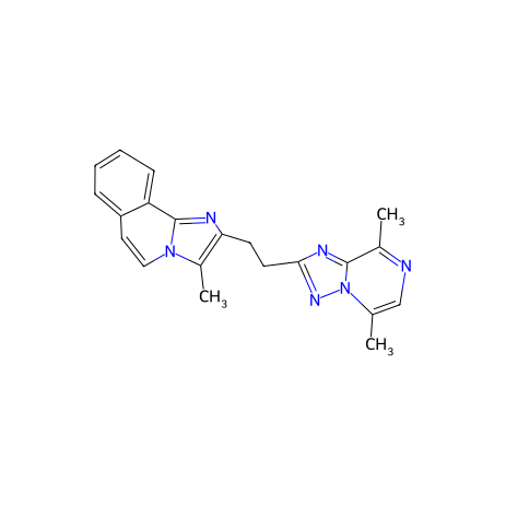 Cc1ncc(C)n2nc(CCc3nc4c5ccccc5ccn4c3C)nc12